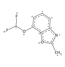 Cc1nc2cccc(OC(F)F)c2o1